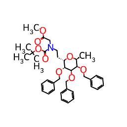 COC(=O)CN(CC[C@@H]1O[C@@H](C)[C@@H](OCc2ccccc2)[C@@H](OCc2ccccc2)[C@@H]1OCc1ccccc1)C(=O)OC(C)(C)C